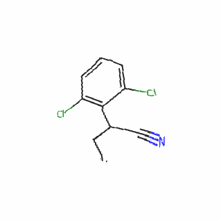 [CH2]CC(C#N)c1c(Cl)cccc1Cl